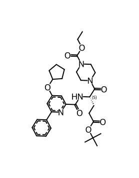 CCOC(=O)N1CCN(C(=O)[C@H](CCC(=O)OC(C)(C)C)NC(=O)c2cc(OC3CCCC3)cc(-c3ccccc3)n2)CC1